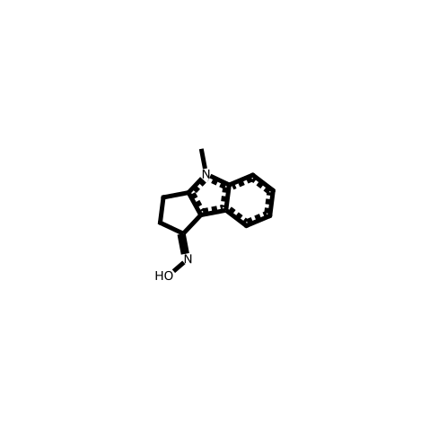 Cn1c2c(c3ccccc31)C(=NO)CC2